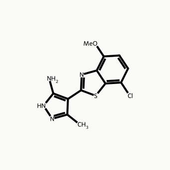 COc1ccc(Cl)c2sc(-c3c(C)n[nH]c3N)nc12